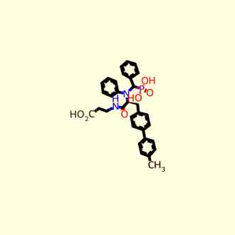 Cc1ccc(-c2ccc(C[C@@H](C(=O)NCCC(=O)O)N(c3ccccc3)C(c3ccccc3)P(=O)(O)O)cc2)cc1